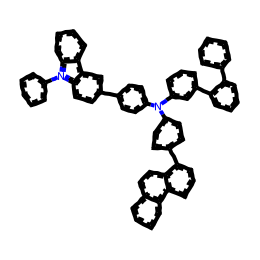 c1ccc(-c2ccccc2-c2cccc(N(c3ccc(-c4ccc5c(c4)c4ccccc4n5-c4ccccc4)cc3)c3ccc(-c4cccc5c4ccc4ccccc45)cc3)c2)cc1